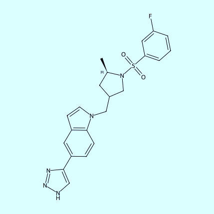 C[C@@H]1CC(Cn2ccc3cc(-c4c[nH]nn4)ccc32)CN1S(=O)(=O)c1cccc(F)c1